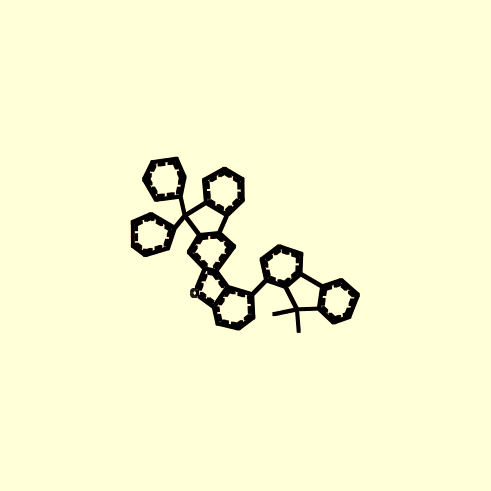 CC1(C)c2ccccc2-c2cccc(-c3cccc4oc5cc6c(cc5c34)-c3ccccc3C6(c3ccccc3)c3ccccc3)c21